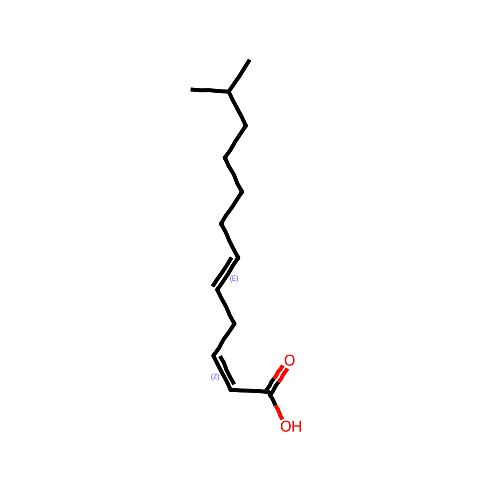 CC(C)CCCC/C=C/C/C=C\C(=O)O